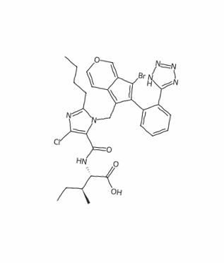 CCCCc1nc(Cl)c(C(=O)N[C@H](C(=O)O)[C@@H](C)CC)n1Cc1c2ccocc-2c(Br)c1-c1ccccc1-c1nnn[nH]1